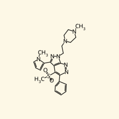 CN1CCN(CCn2nc(-c3cccn3C)c3c(S(C)(=O)=O)c(-c4ccccc4)nnc32)CC1